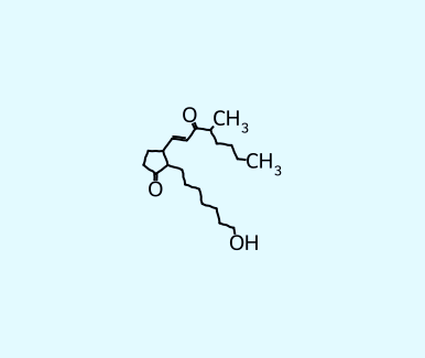 CCCCC(C)C(=O)/C=C/C1CCC(=O)C1CCCCCCCO